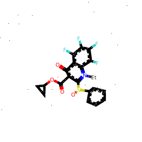 CCn1c([S+]([O-])c2ccccc2)c(C(=O)OC2CC2)c(=O)c2c(F)c(F)c(F)c(F)c21